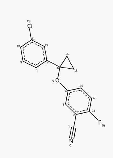 N#Cc1cc(OC2(c3cccc(Cl)c3)CC2)ccc1F